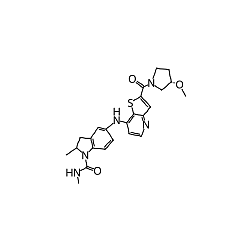 CNC(=O)N1c2ccc(Nc3ccnc4cc(C(=O)N5CC[C@H](OC)C5)sc34)cc2CC1C